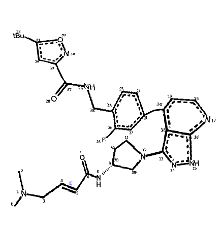 CN(C)C/C=C/C(=O)N[C@@H]1CCN(c2n[nH]c3nccc(-c4ccc(CNC(=O)c5cc(C(C)(C)C)on5)c(F)c4)c23)C1